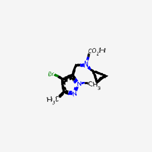 Cc1nn(C)c(CN(C(=O)O)C2CC2)c1Br